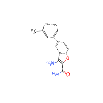 NC(=O)c1oc2ccc(-c3cccc(C(F)(F)F)c3)cc2c1N